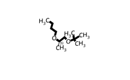 CCCCO[C@@H](C)COC(C)(C)C